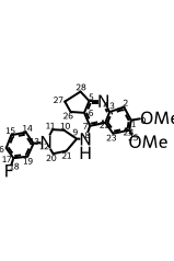 COc1cc2nc3c(c(NC4CCN(c5cccc(F)c5)CC4)c2cc1OC)CCC3